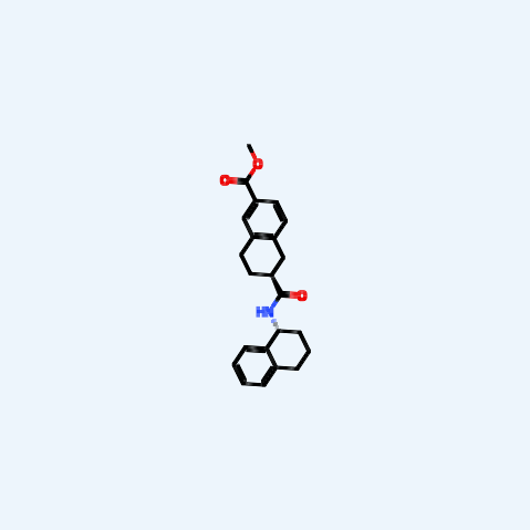 COC(=O)c1ccc2c(c1)CC[C@H](C(=O)N[C@@H]1CCCc3ccccc31)C2